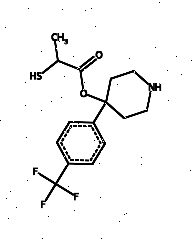 CC(S)C(=O)OC1(c2ccc(C(F)(F)F)cc2)CCNCC1